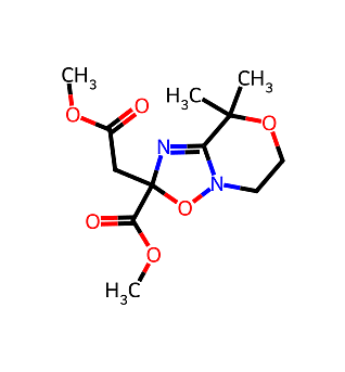 COC(=O)CC1(C(=O)OC)N=C2N(CCOC2(C)C)O1